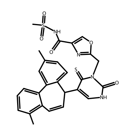 Cc1ccc2c(c1)-c1cccc(C)c1C=CC2c1c[nH]c(=O)n(Cc2nc(C(=O)NS(C)(=O)=O)co2)c1=S